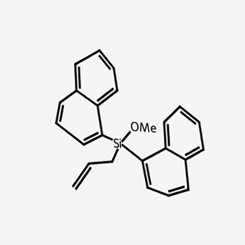 C=CC[Si](OC)(c1cccc2ccccc12)c1cccc2ccccc12